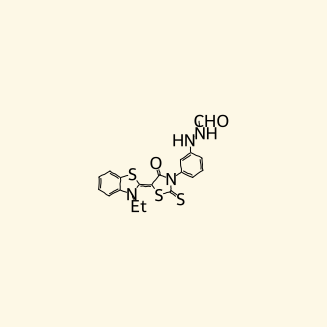 CCN1/C(=C2\SC(=S)N(c3cccc(NNC=O)c3)C2=O)Sc2ccccc21